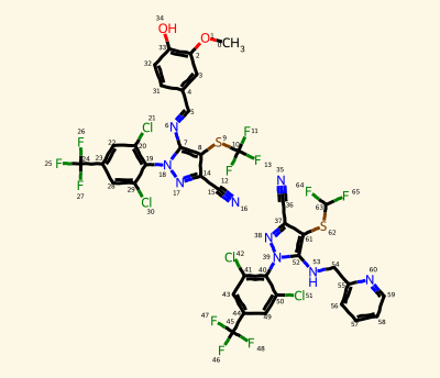 COc1cc(/C=N/c2c(SC(F)(F)F)c(C#N)nn2-c2c(Cl)cc(C(F)(F)F)cc2Cl)ccc1O.N#Cc1nn(-c2c(Cl)cc(C(F)(F)F)cc2Cl)c(NCc2ccccn2)c1SC(F)F